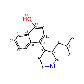 CC(C)CC1CNCCC1c1ccc(O)c2ccccc12